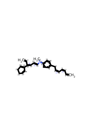 C=C/C=C\C=C/Cc1ccc(N(C)/C=C/C=C(\C=C)C2=CCCC=C2)cc1